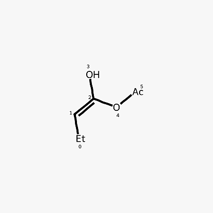 CCC=C(O)OC(C)=O